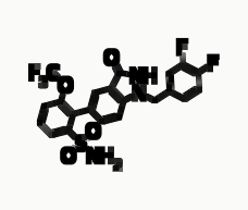 NS(=O)(=O)c1cccc(OC(F)(F)F)c1-c1ccc2c(c1)c(=O)[nH]n2Cc1ccc(F)c(F)c1